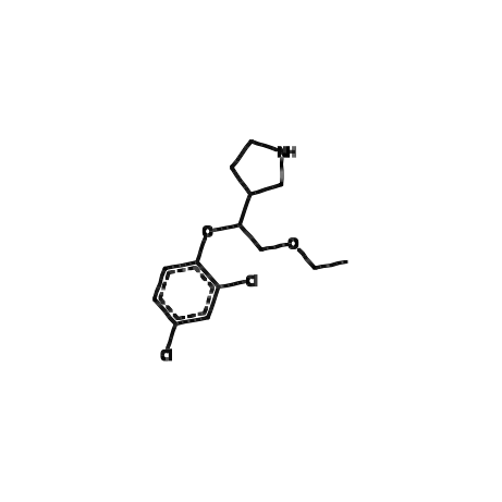 CCOCC(Oc1ccc(Cl)cc1Cl)C1CCNC1